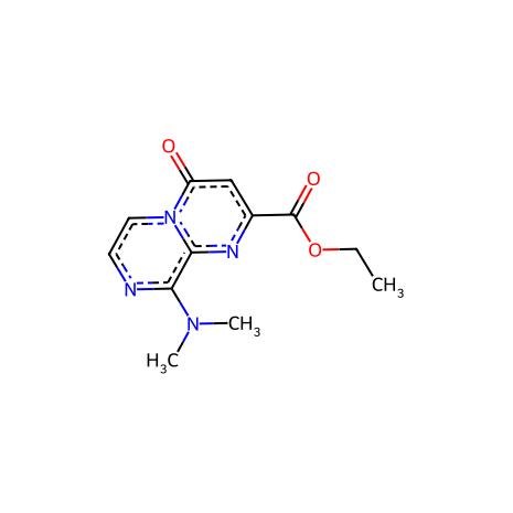 CCOC(=O)c1cc(=O)n2ccnc(N(C)C)c2n1